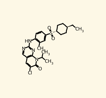 CC[C@H]1CC[C@H](S(=O)(=O)c2ccc(Nc3ncc4cc(Cl)c(=O)n(C(C)C)c4n3)c(C)c2)CC1